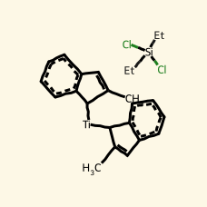 CC1=Cc2ccccc2[CH]1[Ti][CH]1C(C)=Cc2ccccc21.CC[Si](Cl)(Cl)CC